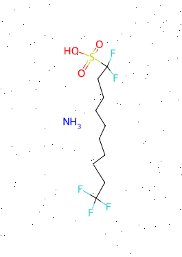 N.O=S(=O)(O)C(F)(F)CCCCCCCCC(F)(F)F